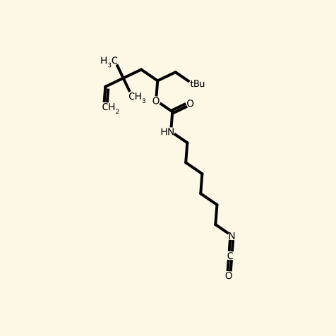 C=CC(C)(C)CC(CC(C)(C)C)OC(=O)NCCCCCCN=C=O